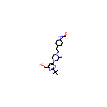 CC1CN(c2cc(CO)nc(C(C)(C)C)n2)CCN1CCC1CCC(NC=O)CC1